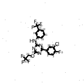 Fc1ccc(-c2nc(Nc3cccc(C(F)(F)F)c3)nc(OCC(F)(F)F)n2)cc1Cl